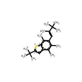 C/C(=C\c1c(C)c(C)c2cc(C(C)(C)C)sc2c1C)C(C)(C)C